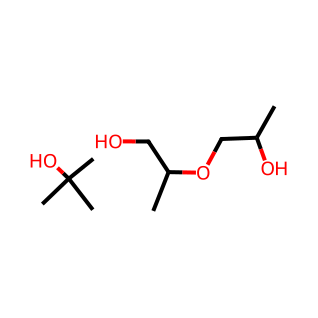 CC(C)(C)O.CC(O)COC(C)CO